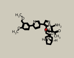 COCc1cc(-c2ccc(-c3cnn4c(N)c(C(C)=O)c([C@@H]5C[C@H]6CC[C@@H](C5)N6C(=O)CO)nc34)cn2)ccc1OC